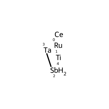 [Ce].[Ru].[SbH2][Ta].[Ti]